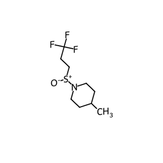 CC1CCN([S+]([O-])CCC(F)(F)F)CC1